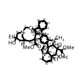 CCC1(O)C[C@H]2CN(CCc3c([nH]c4ccccc34)[C@@](C(=O)OC)(c3cc4c(cc3OC)N(C)C3C(O)(C(=O)OC)[C@H](OC(C)=O)[C@]5(CC)C=CCN6CC[C@]43[C@@H]65)C2)C1